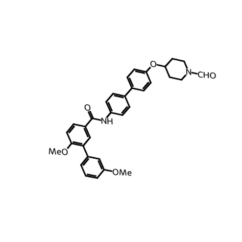 COc1cccc(-c2cc(C(=O)Nc3ccc(-c4ccc(OC5CCN(C=O)CC5)cc4)cc3)ccc2OC)c1